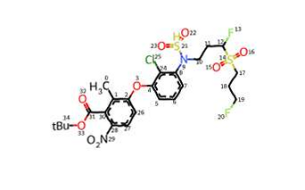 Cc1c(Oc2cccc(N(CCC(F)S(=O)(=O)CCCF)[SH](=O)=O)c2Cl)ccc([N+](=O)[O-])c1C(=O)OC(C)(C)C